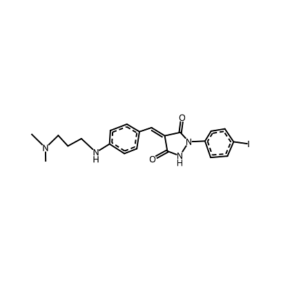 CN(C)CCCNc1ccc(/C=C2\C(=O)NN(c3ccc(I)cc3)C2=O)cc1